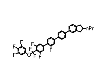 CCCC1Cc2ccc(-c3ccc(-c4ccc(-c5cc(F)c(C(F)(F)Oc6cc(F)c(F)c(F)c6)c(F)c5)c(F)c4)cc3)cc2C1